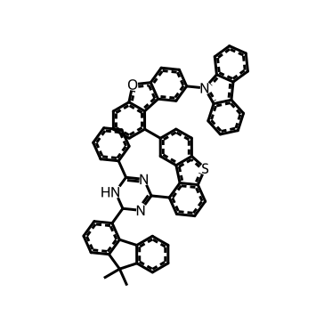 CC1(C)c2ccccc2-c2c(C3N=C(c4cccc5sc6ccc(-c7cccc8oc9ccc(-n%10c%11ccccc%11c%11ccccc%11%10)cc9c78)cc6c45)N=C(c4ccccc4)N3)cccc21